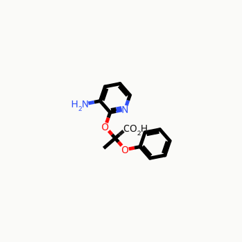 CC(Oc1ccccc1)(Oc1ncccc1N)C(=O)O